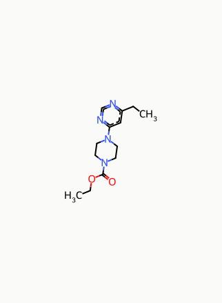 CCOC(=O)N1CCN(c2cc(CC)ncn2)CC1